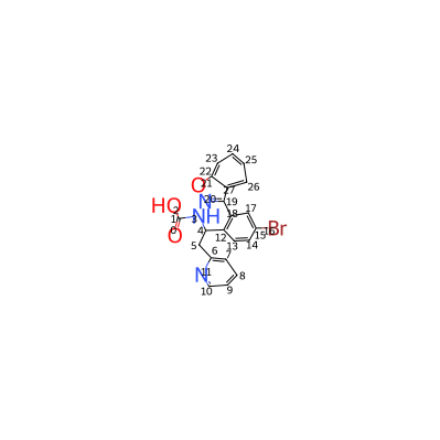 O=C(O)NC(Cc1ccccn1)c1ccc(Br)cc1-c1noc2ccccc12